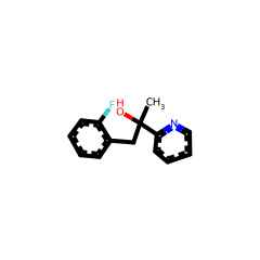 CC(O)(Cc1ccccc1F)c1ccccn1